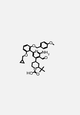 COc1ccc(COc2cccc(OCC3CC3)c2-c2cc(C3CCN(C(=O)O)C(C(C)(C)C)C3)c(C=O)c(N)n2)cc1